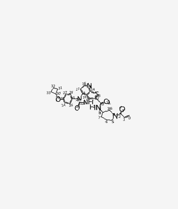 C=CC(=O)N1CCC[C@@H](NC(=O)c2sc3nccc4c3c2NC(=O)N4c2ccc(OC3CCC3)cc2)C1